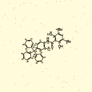 CC(C)(C)c1cc(C(C)(C)C)c(O)c(C(=O)Nc2ccc(C(c3ccccc3)(c3ccccc3)c3ccccc3)cc2Cl)c1O